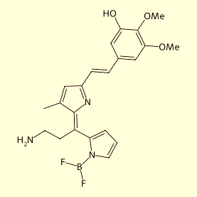 COc1cc(/C=C/C2=NC(=C(/CCN)c3cccn3B(F)F)/C(C)=C2)cc(O)c1OC